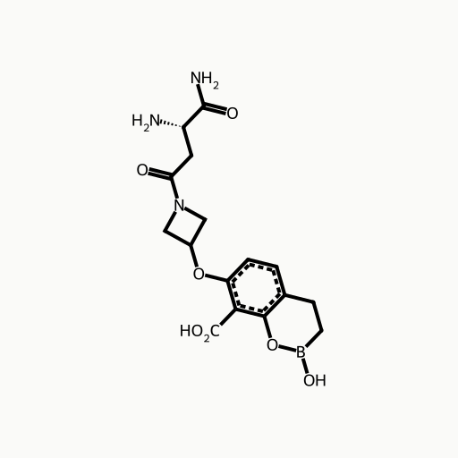 NC(=O)[C@@H](N)CC(=O)N1CC(Oc2ccc3c(c2C(=O)O)OB(O)CC3)C1